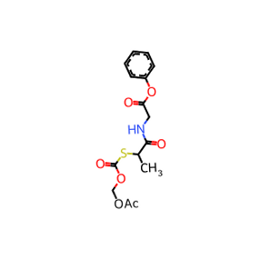 CC(=O)OCOC(=O)SC(C)C(=O)NCC(=O)Oc1ccccc1